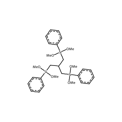 CO[Si](CC(C[Si](OC)(OC)c1ccccc1)C[Si](OC)(OC)c1ccccc1)(OC)c1ccccc1